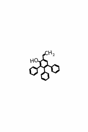 C=Cc1cc(-c2ccccc2)c(-c2ccccc2)c(-c2ccccc2)c1O